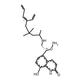 C=C/C=C(\C=C)CC(C)(C)CC(C)NC[C@H](OP)c1ccc(O)c2[nH]c(=O)ccc12